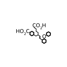 O=C(O)CCCCC(C=Cc1ccccc1Oc1ccccc1)Cc1ccc(C(=O)O)cc1